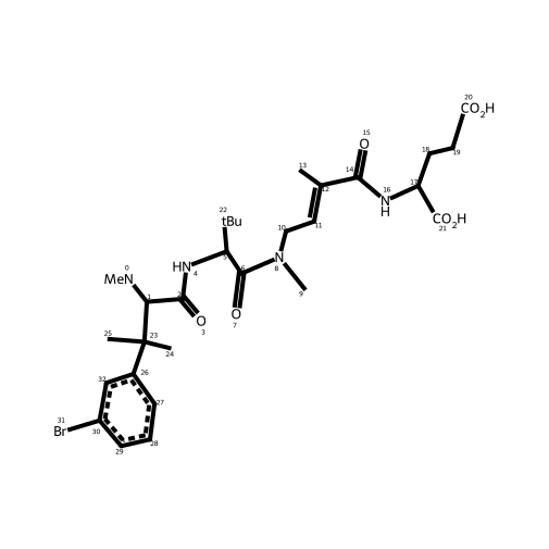 CNC(C(=O)NC(C(=O)N(C)C/C=C(\C)C(=O)NC(CCC(=O)O)C(=O)O)C(C)(C)C)C(C)(C)c1cccc(Br)c1